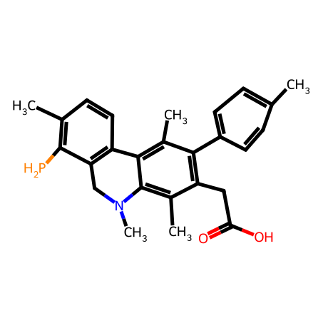 Cc1ccc(-c2c(C)c3c(c(C)c2CC(=O)O)N(C)Cc2c-3ccc(C)c2P)cc1